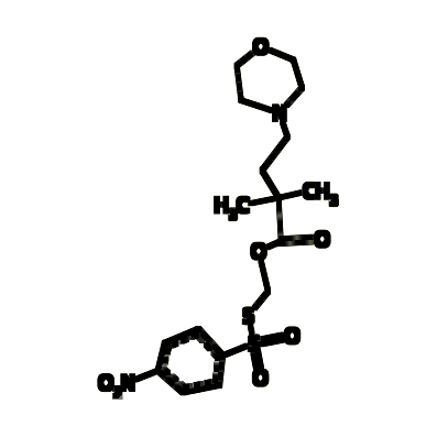 CC(C)(CCN1CCOCC1)C(=O)OCSS(=O)(=O)c1ccc([N+](=O)[O-])cc1